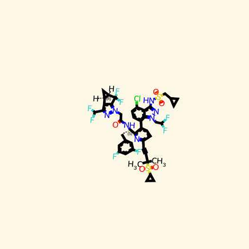 CC(C)(C#Cc1ccc(-c2ccc(Cl)c3c(NS(=O)(=O)CC4CC4)nn(CC(F)F)c23)c([C@H](Cc2cc(F)cc(F)c2)NC(=O)Cn2nc(C(F)F)c3c2C(F)(F)[C@@H]2C[C@H]32)n1)S(=O)(=O)C1CC1